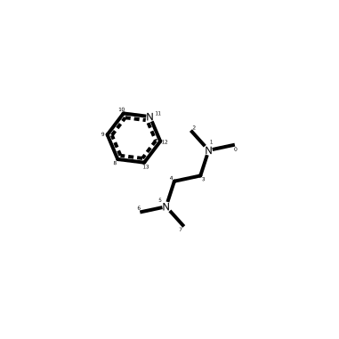 CN(C)CCN(C)C.c1ccncc1